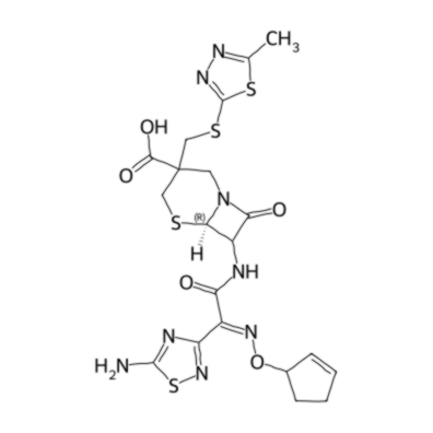 Cc1nnc(SCC2(C(=O)O)CS[C@@H]3C(NC(=O)C(=NOC4C=CCC4)c4nsc(N)n4)C(=O)N3C2)s1